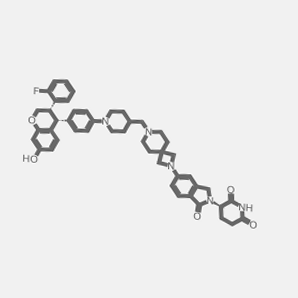 O=C1CC[C@@H](N2Cc3cc(N4CC5(CCN(CC6CCN(c7ccc([C@@H]8c9ccc(O)cc9OC[C@@H]8c8ccccc8F)cc7)CC6)CC5)C4)ccc3C2=O)C(=O)N1